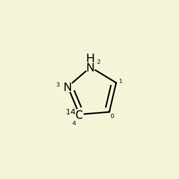 c1c[nH]n[14cH]1